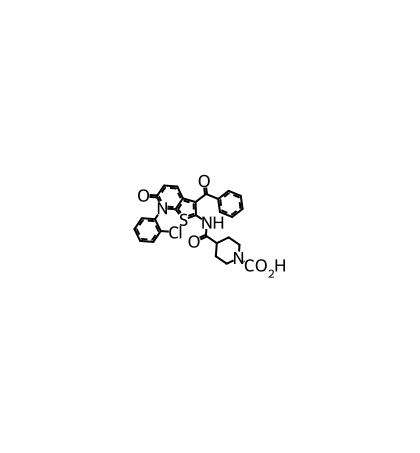 O=C(c1ccccc1)c1c(NC(=O)C2CCN(C(=O)O)CC2)sc2c1ccc(=O)n2-c1ccccc1Cl